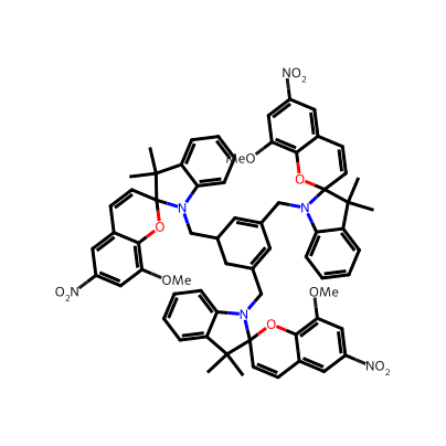 COc1cc([N+](=O)[O-])cc2c1OC1(C=C2)N(CC2=CC(CN3c4ccccc4C(C)(C)C34C=Cc3cc([N+](=O)[O-])cc(OC)c3O4)CC(CN3c4ccccc4C(C)(C)C34C=Cc3cc([N+](=O)[O-])cc(OC)c3O4)=C2)c2ccccc2C1(C)C